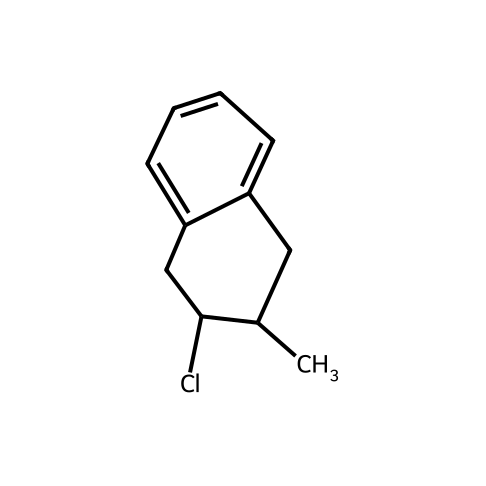 CC1Cc2ccccc2CC1Cl